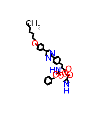 CCCCCCCOc1ccc(-c2cnc(-c3ccc(CC(NC(=O)OCc4ccccc4)C(=O)OC(=O)C4CNC4)cc3)nc2)cc1